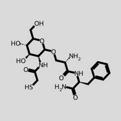 NC(=O)[C@H](Cc1ccccc1)NC(=O)[C@@H](N)COC1OC(CO)[C@@H](O)[C@H](O)[C@@H]1NC(=O)CS